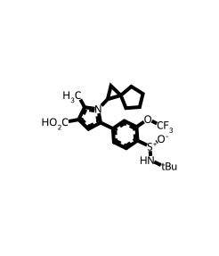 Cc1c(C(=O)O)cc(-c2ccc([S+]([O-])NC(C)(C)C)c(OC(F)(F)F)c2)n1C1CC12CCCC2